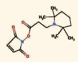 CC1(C)CCCC(C)(C)N1CCC(=O)ON1C(=O)C=CC1=O